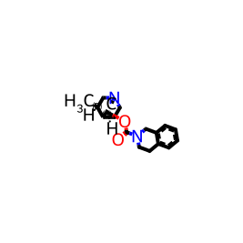 C[C@H]1CN2CCC1[C@H](OC(=O)N1CCc3ccccc3C1)C2